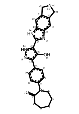 O=C1CCCCCN1c1ccc(-c2n[nH]c(-c3nc4cc5c(cc4[nH]3)CNC5)c2O)cc1